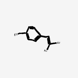 CCc1ccc(C=C(C(C)=O)C(C)=O)cc1